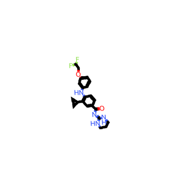 O=C(N=C1NCCCN1)c1ccc(Nc2cccc(OCC(F)F)c2)c(C2CC2)c1